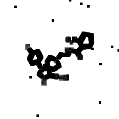 Cl.O=C(NCCN1CCC2(CC1)C(=O)NCN2c1ccc(F)cc1)c1ccccc1[N+](=O)[O-]